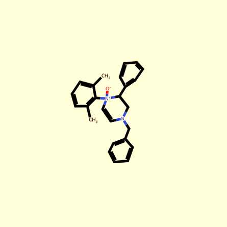 Cc1cccc(C)c1[N+]1([O-])C=CN(Cc2ccccc2)CC1c1ccccc1